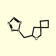 c1nnn(CC2CC3(CCC3)CO2)n1